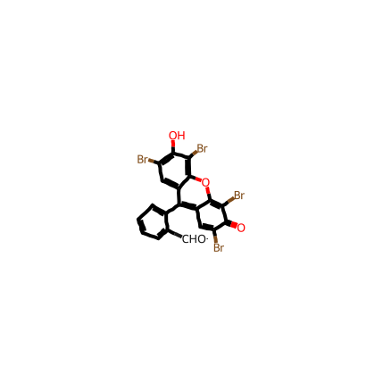 O=[C]c1ccccc1-c1c2cc(Br)c(=O)c(Br)c-2oc2c(Br)c(O)c(Br)cc12